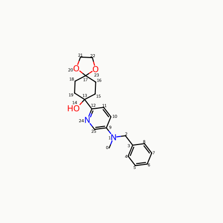 CN(Cc1ccccc1)c1ccc(C2(O)CCC3(CC2)OCCO3)nc1